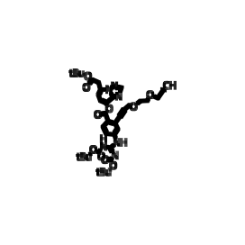 C#CCOCCOCC#Cc1cc(N/C(=N/C(=O)OC(C)(C)C)NC(=O)OC(C)(C)C)ccc1C(=O)Oc1ccc(CC(=O)OC(C)(C)C)n2ncnc12